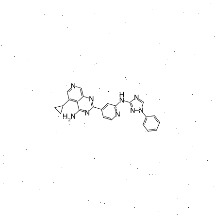 Nc1nc(-c2ccnc(Nc3ncn(-c4ccccc4)n3)c2)nc2cncc(C3CC3)c12